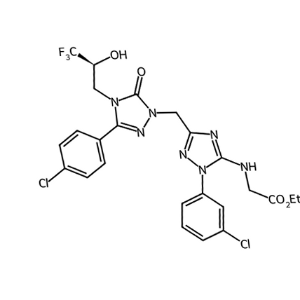 CCOC(=O)CNc1nc(Cn2nc(-c3ccc(Cl)cc3)n(C[C@H](O)C(F)(F)F)c2=O)nn1-c1cccc(Cl)c1